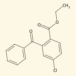 CCOC(=O)c1ccc(Cl)cc1C(=O)c1ccccc1